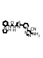 N#Cc1c(N)ncnc1N1CCCC(c2nc(NC(=O)Nc3ccccc3N3CCCC3)cs2)C1